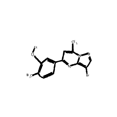 CCOc1cc(-c2cc(C(F)(F)F)n3ncc(Br)c3n2)ccc1C(F)(F)F